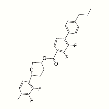 CCCc1ccc(-c2ccc(C(=O)OC3CCC(c4ccc(C)c(F)c4F)CC3)c(F)c2F)cc1